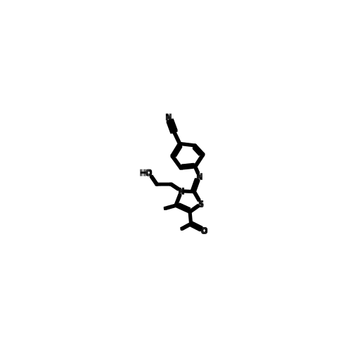 CC(=O)c1sc(=Nc2ccc(C#N)cc2)n(CCO)c1C